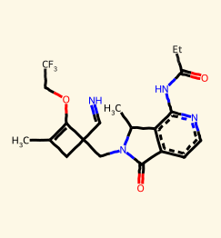 CCC(=O)Nc1nccc2c1C(C)N(CC1(C=N)CC(C)=C1OCC(F)(F)F)C2=O